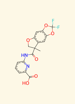 CC1(C(=O)Nc2cccc(C(=O)O)n2)COc2cc3c(cc21)OC(F)(F)O3